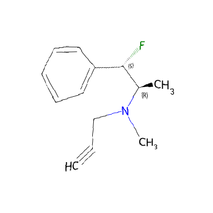 C#CCN(C)[C@H](C)[C@@H](F)c1ccccc1